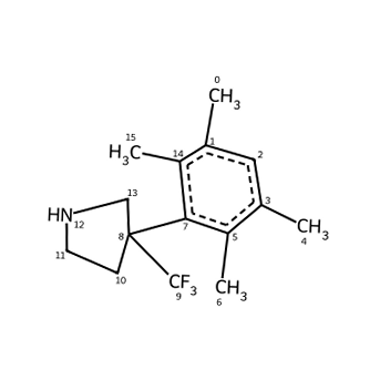 Cc1cc(C)c(C)c(C2(C(F)(F)F)CCNC2)c1C